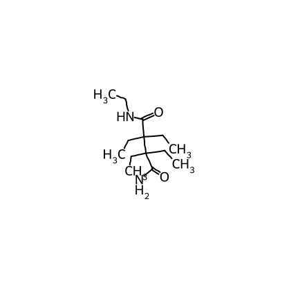 CCNC(=O)C(CC)(CC)C(CC)(CC)C(N)=O